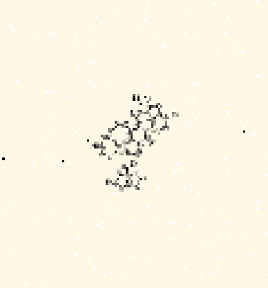 N#Cc1c(N)sc2c(F)ccc(-c3c(Cl)c4c5c(nc(OC[C@@]67CCCN6C[C@H](F)C7)nc5c3F)N3CCCNCC3CCO4)c12